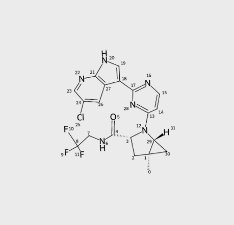 C[C@]12C[C@H](C(=O)NCC(F)(F)F)N(c3ccnc(-c4c[nH]c5ncc(Cl)cc45)n3)[C@@H]1C2